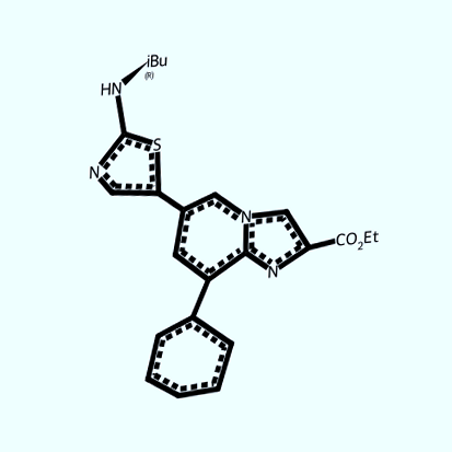 CCOC(=O)c1cn2cc(-c3cnc(N[C@H](C)CC)s3)cc(-c3ccccc3)c2n1